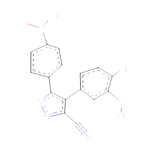 COc1cc(-c2c(C#N)n[nH]c2-c2ccc([S+](C)[O-])cc2)ccc1Cl